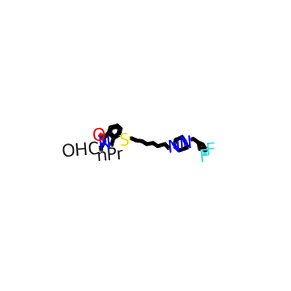 CCCC(C=O)N1Cc2c(SCCCCCCCCN3CCN(CC4CC(F)(F)C4)CC3)cccc2C1=O